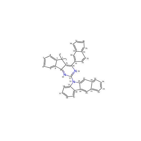 CC1(C)c2ccccc2-c2nc(-n3c4ccccc4c4cc5ccccc5cc43)nc(-c3ccc4ccccc4c3)c21